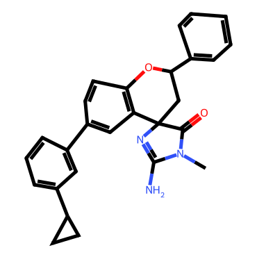 CN1C(=O)C2(CC(c3ccccc3)Oc3ccc(-c4cccc(C5CC5)c4)cc32)N=C1N